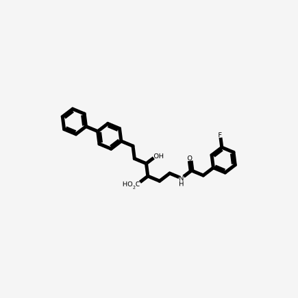 O=C(Cc1cccc(F)c1)NCCC(C(=O)O)C(O)CCc1ccc(-c2ccccc2)cc1